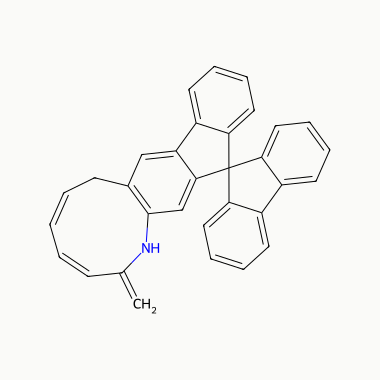 C=C1/C=C\C=C/Cc2cc3c(cc2N1)C1(c2ccccc2-c2ccccc21)c1ccccc1-3